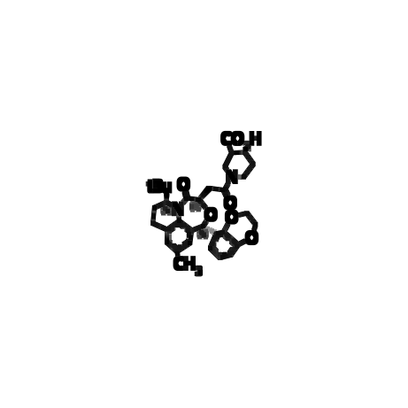 Cc1cc2c3c(c1)[C@@H](c1cccc4c1OCCO4)O[C@H](CC(=O)N1CCCC(C(=O)O)C1)C(=O)N3[C@H](C(C)(C)C)CC2